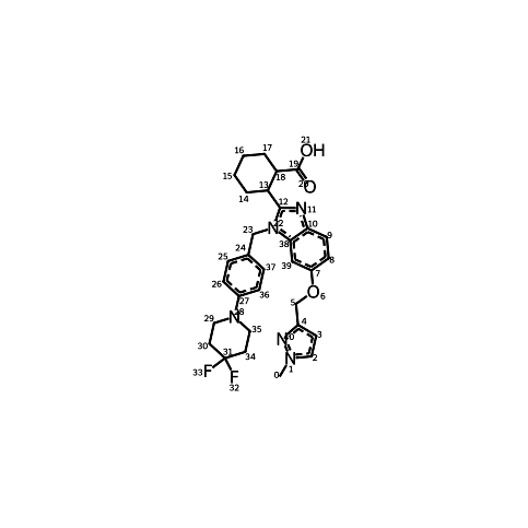 Cn1ccc(COc2ccc3nc(C4CCCCC4C(=O)O)n(Cc4ccc(N5CCC(F)(F)CC5)cc4)c3c2)n1